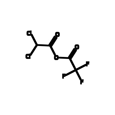 O=C(OC(=O)C(F)(F)F)C(Cl)Cl